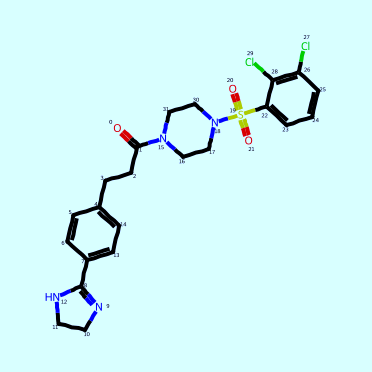 O=C(CCc1ccc(C2=NCCN2)cc1)N1CCN(S(=O)(=O)c2cccc(Cl)c2Cl)CC1